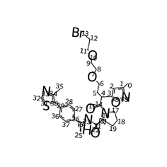 Cc1cc(C(CCOCCOCCBr)C(=O)N2CCC[C@H]2C(=O)N[C@@H](C)c2ccc(-c3scnc3C)cc2)on1